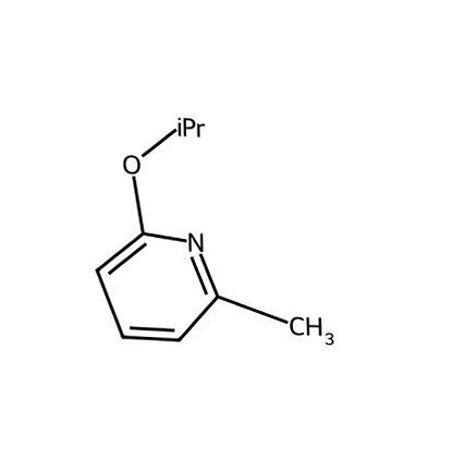 Cc1cccc(OC(C)C)n1